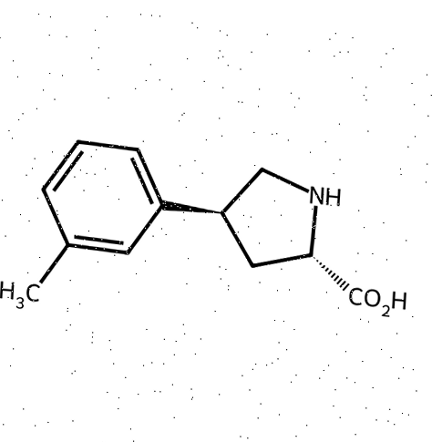 Cc1cccc([C@H]2CN[C@H](C(=O)O)C2)c1